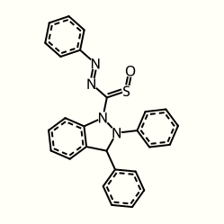 O=S=C(N=Nc1ccccc1)N1c2ccccc2C(c2ccccc2)N1c1ccccc1